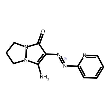 Nc1c(/N=N/c2ccccn2)c(=O)n2n1CCC2